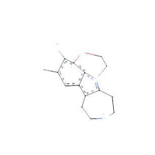 Brc1cc2c3c(n4c2c(c1Br)OCC4)CCNCC3